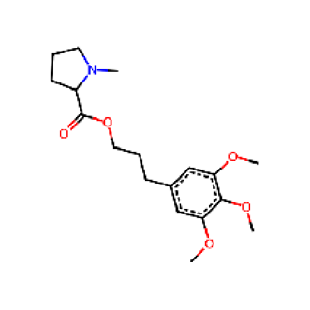 COc1cc(CCCOC(=O)C2CCCN2C)cc(OC)c1OC